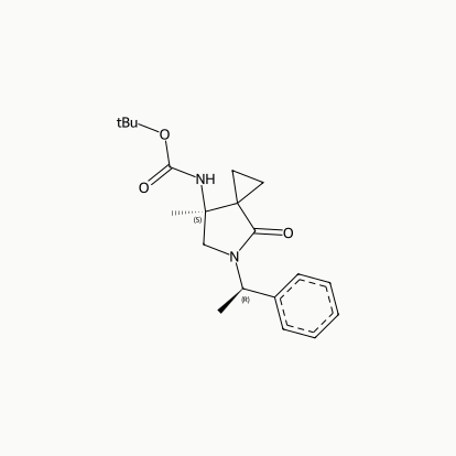 C[C@H](c1ccccc1)N1C[C@@](C)(NC(=O)OC(C)(C)C)C2(CC2)C1=O